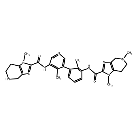 Cc1c(NC(=O)c2nc3c(n2C)CCNC3)cncc1-c1cccc(NC(=O)c2nc3c(n2C)CCN(C)C3)c1C